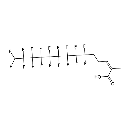 CC(=CCCC(F)(F)C(F)(F)C(F)(F)C(F)(F)C(F)(F)C(F)(F)C(F)(F)C(F)(F)C(F)F)C(=O)O